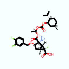 CC(C)[C@@H]1CC[C@@H](C)CC1OC(=O)O[C@H](C)OC(=O)[C@@]1(N)[C@H]2[C@@H](C[C@H]1OCc1ccc(F)c(F)c1)[C@]2(F)C(=O)O